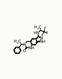 C[C@H](c1ccccc1)N1Cc2cc3c(N[C@@H](C)C(F)(F)F)n[nH]c3cc2NC1=O